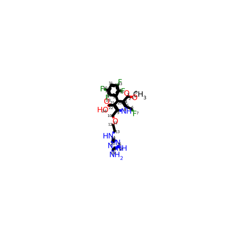 COC(=O)C1=C(CF)NC(COCCNc2n[nH]c(N)n2)=C(C(=O)O)C1c1c(F)c(F)cc(F)c1F